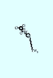 CCCCC=CC=CCN1CCC(F)(CNC(=O)c2cc(Cl)cc(Cl)c2)CC1